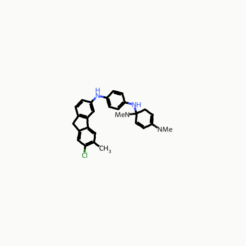 CNC1=CCC(NC)(Nc2ccc(Nc3ccc4c(c3)-c3cc(C)c(Cl)cc3C4)cc2)C=C1